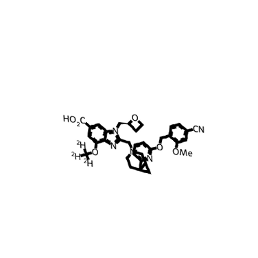 [2H]C([2H])([2H])Oc1cc(C(=O)O)cc2c1nc(CN1CCC3(c4cccc(OCc5ccc(C#N)cc5OC)n4)CC3C1)n2C[C@@H]1CCO1